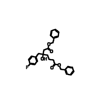 O=C(CCCC(O)(CC(=O)OCc1ccccc1)Cc1ccc(F)cc1)OCc1ccccc1